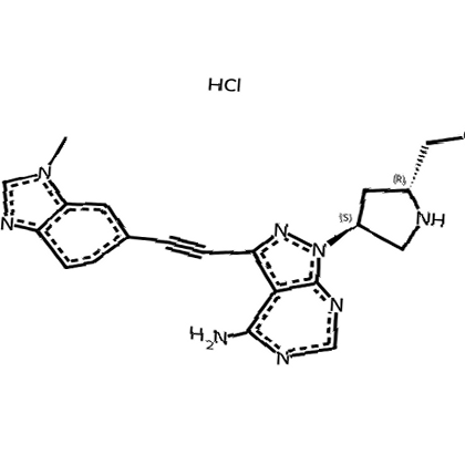 COC[C@H]1C[C@H](n2nc(C#Cc3ccc4ncn(C)c4c3)c3c(N)ncnc32)CN1.Cl